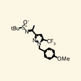 COc1ccc(Cn2nc(C(C)=N[S+]([O-])C(C)(C)C)cc2C(F)(F)F)cc1